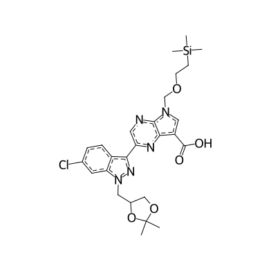 CC1(C)OCC(Cn2nc(-c3cnc4c(n3)c(C(=O)O)cn4COCC[Si](C)(C)C)c3ccc(Cl)cc32)O1